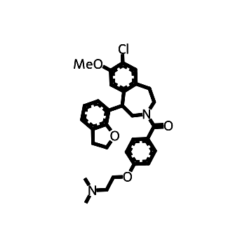 COc1cc2c(cc1Cl)CCN(C(=O)c1ccc(OCCN(C)C)cc1)CC2c1cccc2c1OCC2